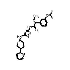 COC(C(=O)Nc1nnc(NC2CCC(C3C=CC=NN3)CC2)s1)c1cccc(OC(F)F)c1